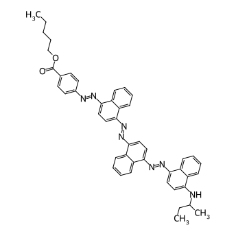 CCCCCOC(=O)c1ccc(/N=N/c2ccc(/N=N/c3ccc(/N=N/c4ccc(NC(C)CC)c5ccccc45)c4ccccc34)c3ccccc23)cc1